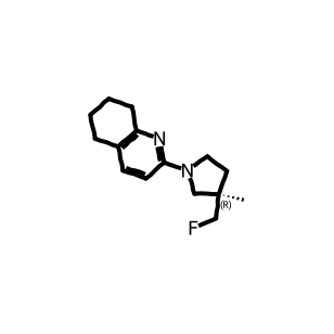 C[C@@]1(CF)CCN(c2ccc3c(n2)CCCC3)C1